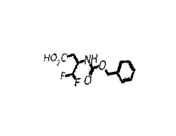 O=C(O)CC(NC(=O)OCc1ccccc1)C(F)F